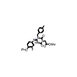 COC(=O)Cn1c(=O)[nH]/c(=N\c2ccc(OC(C)C)c(F)c2)n(Cc2ccc(C)cc2)c1=O